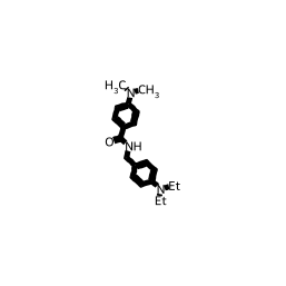 CCN(CC)c1ccc(CNC(=O)c2ccc(N(C)C)cc2)cc1